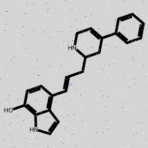 Oc1ccc(/C=C/CC2CC(c3ccccc3)=CCN2)c2cc[nH]c12